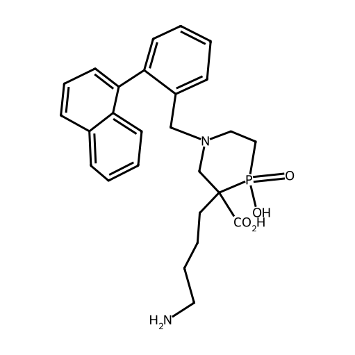 NCCCCC1(C(=O)O)CN(Cc2ccccc2-c2cccc3ccccc23)CCP1(=O)O